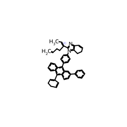 C=CCC/C(=C\C)c1nc2c(n1-c1ccc(-c3c4ccccc4c(C4=CCCC=C4)c4ccc(-c5ccccc5)cc34)cc1)CCC=C2